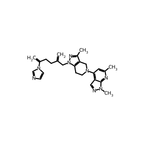 C=C(CCC(=C)n1ccnc1)Cn1nc(C)c2c1CCN(c1cc(C)nc3c1cnn3C)C2